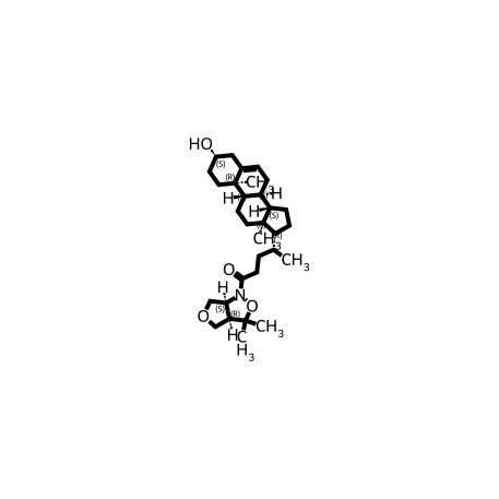 CC(CCC(=O)N1OC(C)(C)[C@H]2COC[C@H]21)[C@H]1CC[C@H]2[C@@H]3CC=C4C[C@@H](O)CC[C@]4(C)[C@H]3CC[C@]12C